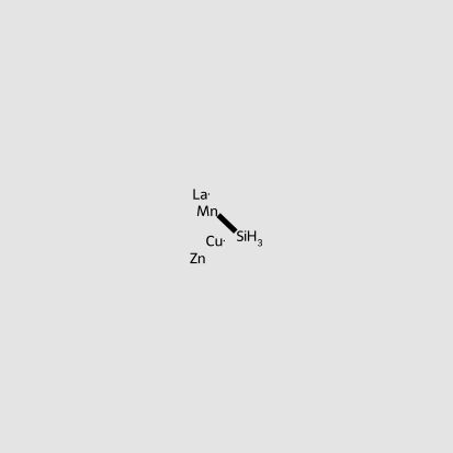 [Cu].[La].[SiH3][Mn].[Zn]